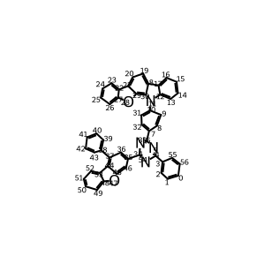 c1ccc(-c2nc(-c3ccc(-n4c5ccccc5c5ccc6c7ccccc7oc6c54)cc3)nc(-c3cc(-c4ccccc4)c4c(c3)oc3ccccc34)n2)cc1